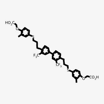 Cc1cc(SCCCc2ccc(-c3ccc(CCCSc4ccc(OCC(=O)O)c(C)c4)c(C(F)(F)F)c3)cc2C(F)(F)F)ccc1OCC(=O)O